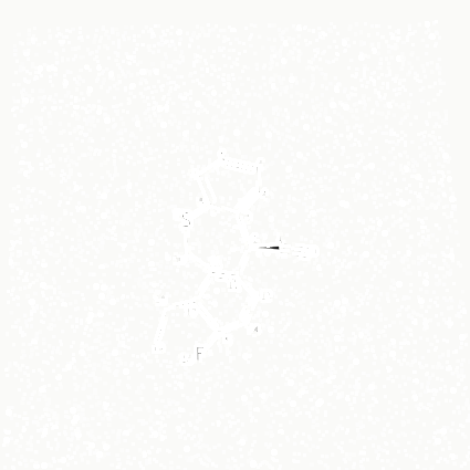 C#C[C@@H]1c2ccccc2SCc2c1ccc(F)c2CC